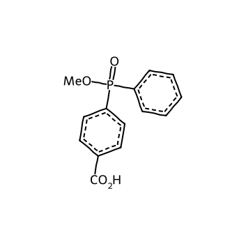 COP(=O)(c1ccccc1)c1ccc(C(=O)O)cc1